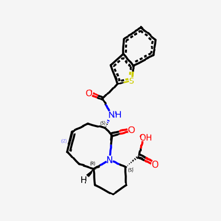 O=C(N[C@H]1C/C=C\C[C@H]2CCC[C@@H](C(=O)O)N2C1=O)c1cc2ccccc2s1